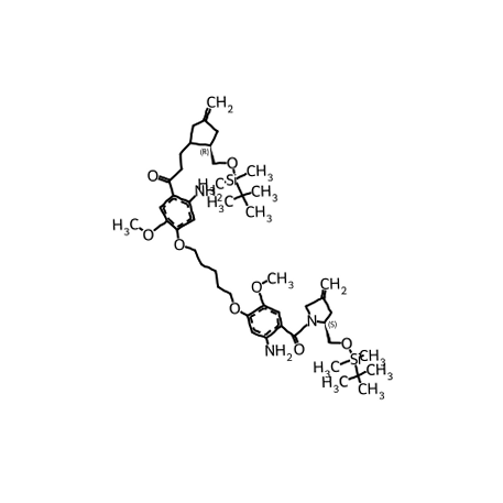 C=C1CC(CCC(=O)c2cc(OC)c(OCCCCCOc3cc(N)c(C(=O)N4CC(=C)C[C@H]4CO[Si](C)(C)C(C)(C)C)cc3OC)cc2N)[C@H](CO[Si](C)(C)C(C)(C)C)C1